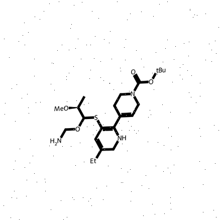 CCC1=CC(SC(OCN)[C@H](C)OC)=C(C2=CCN(C(=O)OC(C)(C)C)CC2)NC1